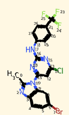 Cc1nc2ccc(Br)cc2n1-c1cc(Cl)nc(Nc2ccc(C(F)(F)F)cc2)n1